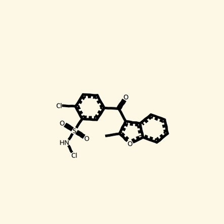 Cc1oc2ccccc2c1C(=O)c1ccc(Cl)c(S(=O)(=O)NCl)c1